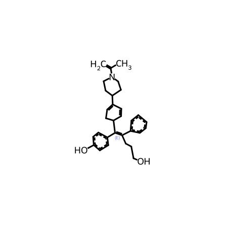 C=C(C)N1CCC(C2=CCC(/C(=C(/CCCO)c3ccccc3)c3ccc(O)cc3)C=C2)CC1